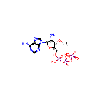 CO[C@H]1[C@@H](N)[C@H](n2cnc3c(N)ncnc32)O[C@@H]1COP(=O)(O)OP(=O)(O)OP(=O)(O)O